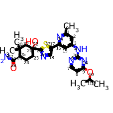 Cc1cc(Nc2nccc(OC(C)C)n2)cc(-c2cnc([C@]3(O)CC[C@@H](C(N)=O)C(C)(C)C3)s2)n1